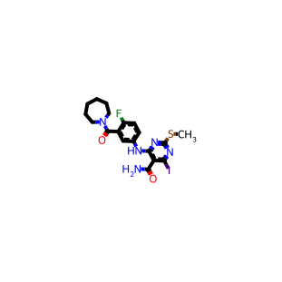 CSc1nc(I)c(C(N)=O)c(Nc2ccc(F)c(C(=O)N3CCCCCC3)c2)n1